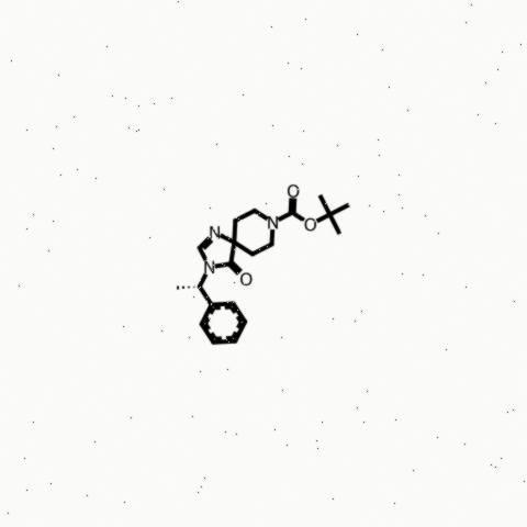 C[C@@H](c1ccccc1)N1C=NC2(CCN(C(=O)OC(C)(C)C)CC2)C1=O